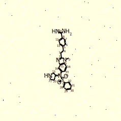 Cn1c(CCc2ccc(C(=N)N)cc2)nc2cc(N(C3CCNC3)S(=O)(=O)c3ccccc3)ccc21